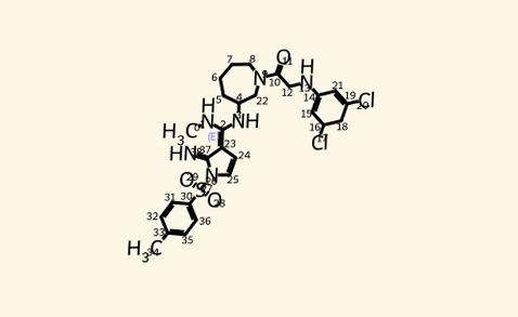 CN/C(NC1CCCCN(C(=O)CNC2=CC(Cl)CC(Cl)=C2)C1)=C1/C=CN(S(=O)(=O)c2ccc(C)cc2)C1=N